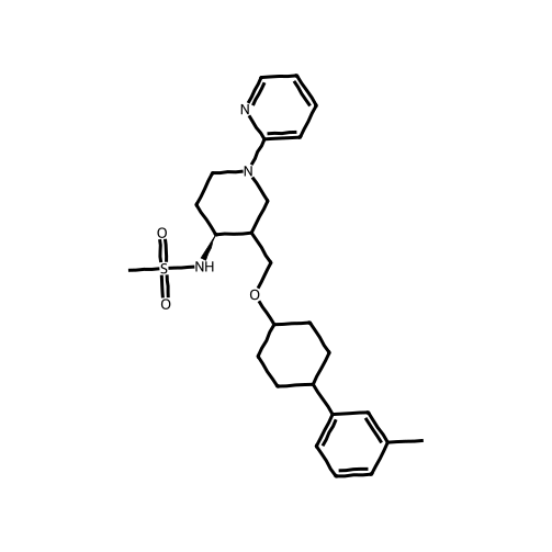 Cc1cccc(C2CCC(OCC3CN(c4ccccn4)CC[C@@H]3NS(C)(=O)=O)CC2)c1